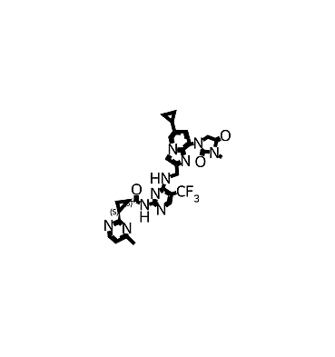 Cc1ccnc([C@H]2C[C@@H]2C(=O)Nc2ncc(C(F)(F)F)c(NCc3cn4cc(C5CC5)cc(N5CC(=O)N(C)C5=O)c4n3)n2)n1